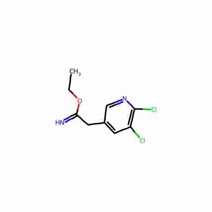 CCOC(=N)Cc1cnc(Cl)c(Cl)c1